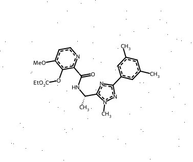 CCOC(=O)Oc1c(OC)ccnc1C(=O)N[C@@H](C)c1nc(-c2cc(C)cc(C)c2)nn1C